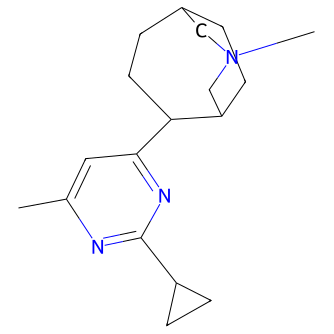 Cc1cc(C2CCC3CCC2CN(C)C3)nc(C2CC2)n1